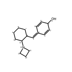 OC1C=CC(=CC2CCCCC2N2CCC2)C=C1